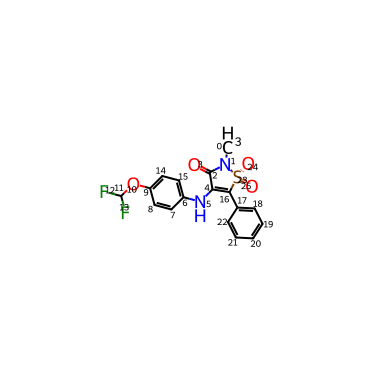 CN1C(=O)C(Nc2ccc(OC(F)F)cc2)=C(c2ccccc2)S1(=O)=O